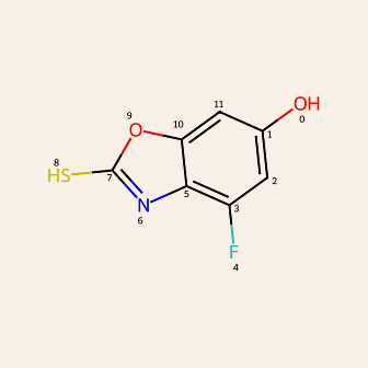 Oc1cc(F)c2nc(S)oc2c1